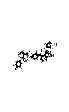 O=C(Nc1ccc(Cc2ccnc3[nH]nc(NC4CCNC4)c23)c(F)c1)c1ccnn(-c2ccc(F)cc2)c1=O